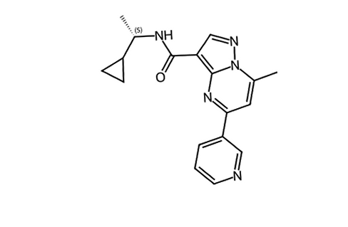 Cc1cc(-c2cccnc2)nc2c(C(=O)N[C@@H](C)C3CC3)cnn12